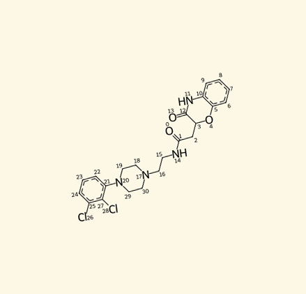 O=C(CC1Oc2ccccc2NC1=O)NCCN1CCN(c2cccc(Cl)c2Cl)CC1